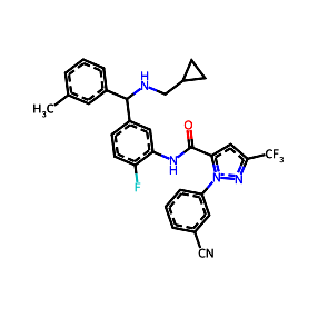 Cc1cccc(C(NCC2CC2)c2ccc(F)c(NC(=O)c3cc(C(F)(F)F)nn3-c3cccc(C#N)c3)c2)c1